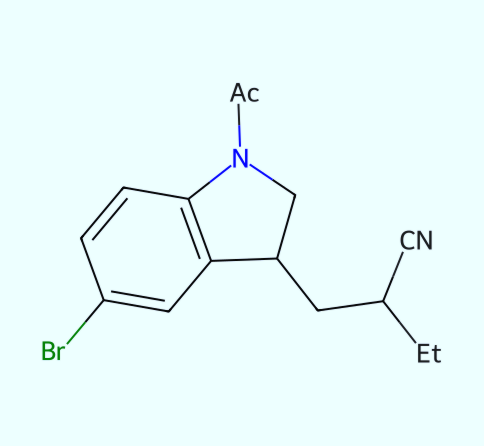 CCC(C#N)CC1CN(C(C)=O)c2ccc(Br)cc21